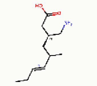 CC/C=C/C(C)C[C@H](CN)CC(=O)O